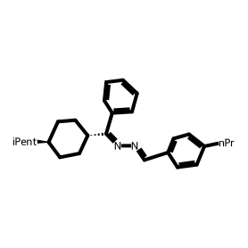 CCCc1ccc(C=NN=C(c2ccccc2)[C@H]2CC[C@H](C(C)CCC)CC2)cc1